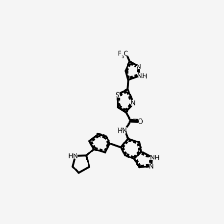 O=C(Nc1cc2[nH]ncc2cc1-c1cccc(C2CCCN2)c1)c1csc(-c2cc(C(F)(F)F)n[nH]2)n1